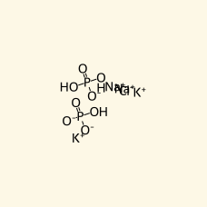 O=P([O-])(O)O.O=P([O-])([O-])O.[Cl-].[K+].[K+].[Na+].[Na+]